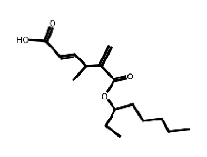 C=C(C(=O)OC(CC)CCCCC)C(C)C=CC(=O)O